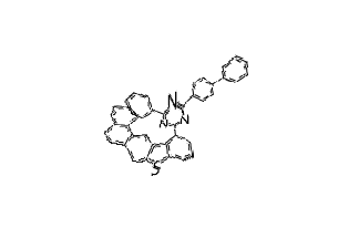 c1ccc(-c2ccc(-c3nc(-c4ccccc4)nc(-c4cccc5sc6cc7ccc8ccccc8c7cc6c45)n3)cc2)cc1